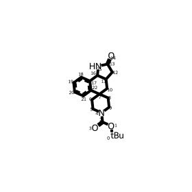 CC(C)(C)OC(=O)N1CCC2(CC1)CC1CC(=O)NC1c1ccccc12